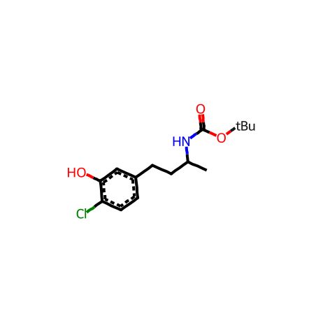 CC(CCc1ccc(Cl)c(O)c1)NC(=O)OC(C)(C)C